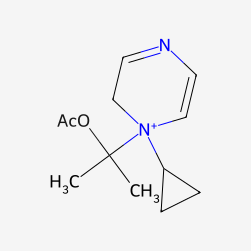 CC(=O)OC(C)(C)[N+]1(C2CC2)C=CN=CC1